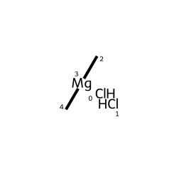 Cl.Cl.[CH3][Mg][CH3]